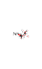 COC(=O)C1CN(S(=O)(=O)c2ccc([N+](=O)[O-])cc2)CCN1C(=O)c1cc(OCc2ccccc2)c(OCc2ccccc2)c(OCc2ccccc2)c1